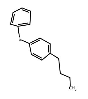 [CH2]CC[CH]c1ccc(Sc2ccccc2)cc1